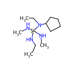 CCN[Si](NC)(NC)N(CC)C1CCCC1